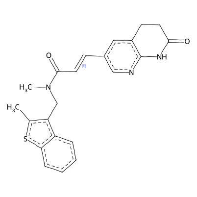 Cc1sc2ccccc2c1CN(C)C(=O)/C=C/c1cnc2c(c1)CCC(=O)N2